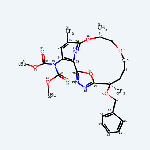 C[C@@H]1COCCC[C@](OCc2ccccc2)(C(F)(F)F)c2nnc(o2)-c2nc(c(C(F)(F)F)cc2N(C(=O)OC(C)(C)C)C(=O)OC(C)(C)C)O1